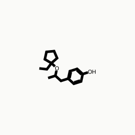 CCC1(OC(C)Cc2ccc(O)cc2)CCCC1